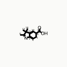 CC1=NC2=CCC(C(=O)O)C=C2C1(C)C